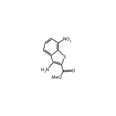 COC(=O)c1sc2c([N+](=O)[O-])cccc2c1N